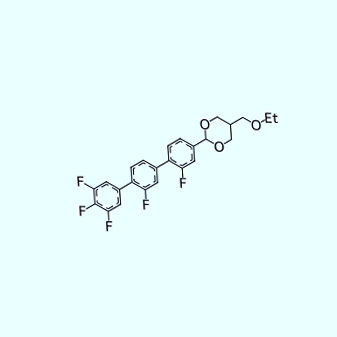 CCOCC1COC(c2ccc(-c3ccc(-c4cc(F)c(F)c(F)c4)c(F)c3)c(F)c2)OC1